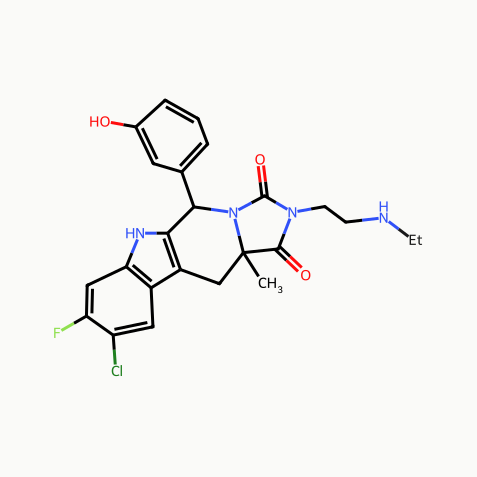 CCNCCN1C(=O)N2C(c3cccc(O)c3)c3[nH]c4cc(F)c(Cl)cc4c3CC2(C)C1=O